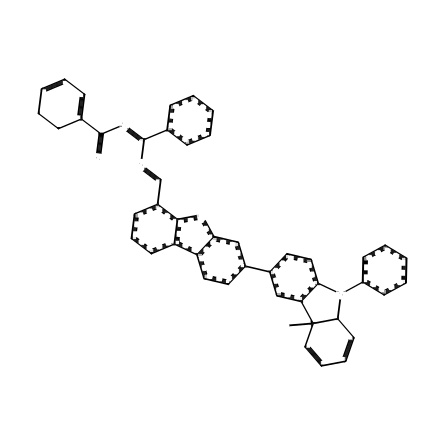 CC12C=CC=CC1N(c1ccccc1)c1ccc(-c3ccc4c(c3)oc3c(/C=N/C(=N\C(=N)C5=CC=CCC5)c5ccccc5)cccc34)cc12